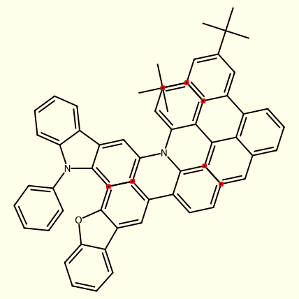 CC(C)(C)c1cc(-c2cccc3cccc(-c4ccccc4N(c4ccc5c(c4)c4ccccc4n5-c4ccccc4)c4ccccc4-c4ccc5oc6ccccc6c5c4)c23)cc(C(C)(C)C)c1